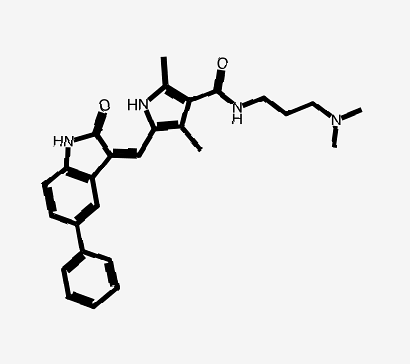 Cc1[nH]c(C=C2C(=O)Nc3ccc(-c4ccccc4)cc32)c(C)c1C(=O)NCCCN(C)C